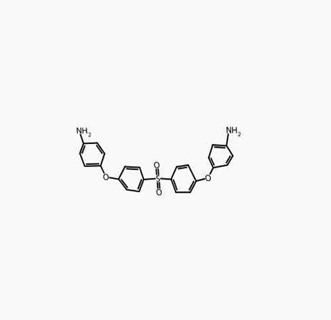 Nc1ccc(Oc2ccc(S(=O)(=O)c3ccc(Oc4ccc(N)cc4)cc3)cc2)cc1